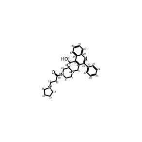 O=C(O)c1c(CN2CCN(C(=O)CCN3CCCC3)CC2)c(-c2ccccc2)nc2ccccc12